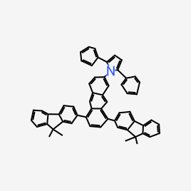 CC1(C)c2ccccc2-c2ccc(-c3ccc(-c4ccc5c(c4)C(C)(C)c4ccccc4-5)c4cc5cc(-n6c(-c7ccccc7)ccc6-c6ccccc6)ccc5cc34)cc21